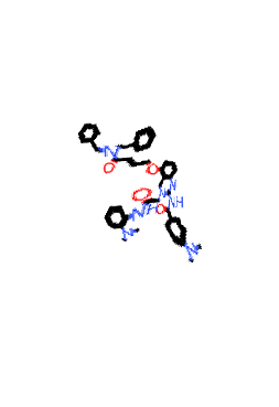 CN(C)c1ccc(C(=O)NC2=Nc3cccc(OCCCC(=O)N(Cc4ccccc4)Cc4ccccc4)c3CN2CC(=O)Nc2ccccc2N(C)C)cc1